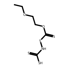 CCOCCOC(=S)SNC(=S)S